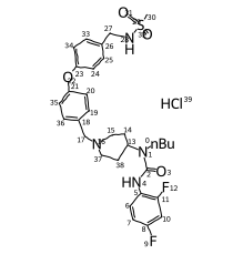 CCCCN(C(=O)Nc1ccc(F)cc1F)C1CCN(Cc2ccc(Oc3ccc(CNS(C)(=O)=O)cc3)cc2)CC1.Cl